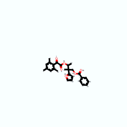 Cc1cc(C)c(C(=O)C(=O)OC(C)C(C)(COC(=O)c2ccccc2)c2ccco2)c(C)c1